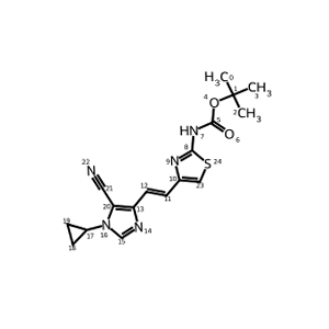 CC(C)(C)OC(=O)Nc1nc(/C=C/c2ncn(C3CC3)c2C#N)cs1